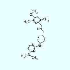 COc1cc(C)c(CNC[C@H]2CC[C@@H](Nc3nccc(N(C)C)n3)CC2)cc1C